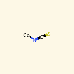 S=C=[N][Co]